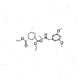 CCOC(=O)[C@@H]1CCC[C@@](CCNCc2cc(OC)cc(OC)c2)(C(=O)OCC)C1